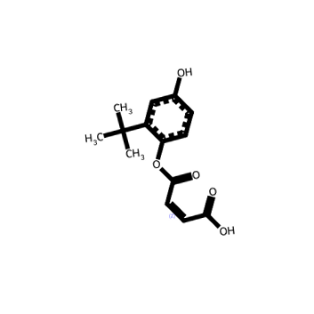 CC(C)(C)c1cc(O)ccc1OC(=O)/C=C\C(=O)O